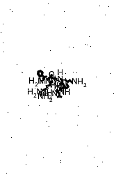 CC(C)[C@H](NC(=O)C1CCCN1C(=O)[C@H](CCCCN)NC(=O)CNC(=O)[C@H](C/C(=C/N)c1ccccc1)NC(=O)[C@@H](C)CCCNC(N)N)C(N)=O